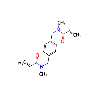 C=CC(=O)N(C)Cc1ccc(CN(C)C(=O)C=C)cc1